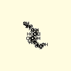 O=C(C[C@H]1CN[C@@H](c2c(O)c(-c3cc(Cl)c(Cl)c([C@H]4C[C@@H](CC(=O)N5CCC[C@H](O)C5)CN4)c3O)cc(Cl)c2Cl)C1)N1CC(CO)C1